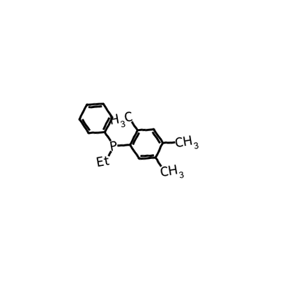 CCP(c1ccccc1)c1cc(C)c(C)cc1C